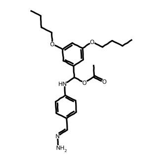 CCCCOc1cc(OCCCC)cc(C(Nc2ccc(C=NN)cc2)OC(C)=O)c1